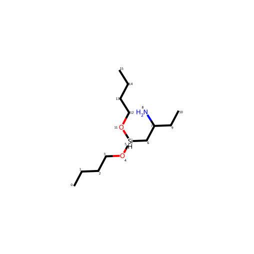 CCCCO[SiH](CC(N)CC)OCCCC